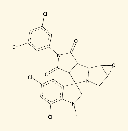 CN1CC2(c3cc(Cl)cc(Cl)c31)C1C(=O)N(c3cc(Cl)cc(Cl)c3)C(=O)C1C1C3OC3CN12